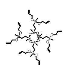 C=CCO[Si](C)(CC[Si]1(C)O[Si](C)(CC[Si](C)(OCC=C)OCC=C)O[Si](C)(CC[Si](C)(OCC=C)OCC=C)O[Si](C)(CC[Si](C)(OCC=C)OCC=C)O1)OCC=C